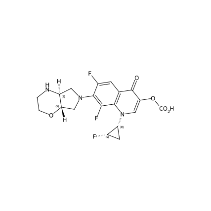 O=C(O)Oc1cn([C@@H]2C[C@@H]2F)c2c(F)c(N3C[C@@H]4NCCO[C@H]4C3)c(F)cc2c1=O